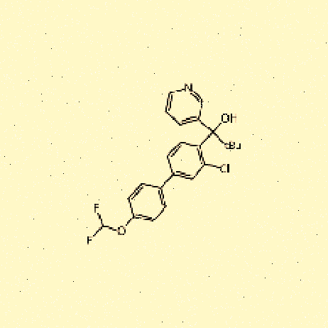 CC(C)(C)C(O)(c1cccnc1)c1ccc(-c2ccc(OC(F)F)cc2)cc1Cl